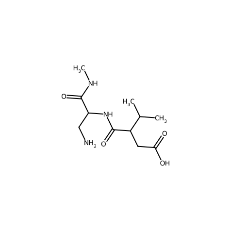 CNC(=O)C(CN)NC(=O)C(CC(=O)O)C(C)C